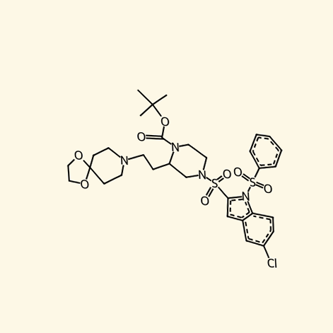 CC(C)(C)OC(=O)N1CCN(S(=O)(=O)c2cc3cc(Cl)ccc3n2S(=O)(=O)c2ccccc2)CC1CCN1CCC2(CC1)OCCO2